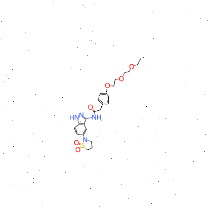 CCOCCOCCOc1ccc(CC(=O)Nc2n[nH]c3ccc(N4CCCS4(=O)=O)cc23)cc1